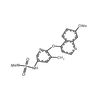 CNS(=O)(=O)Nc1cnc(Oc2ccnc3cc(OC)ccc23)c(C)c1